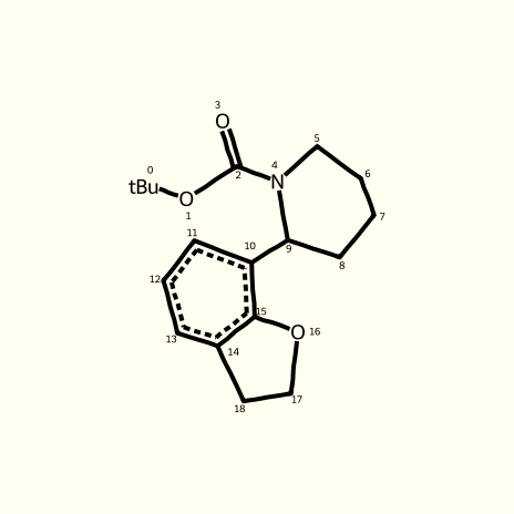 CC(C)(C)OC(=O)N1CCCCC1c1cccc2c1OCC2